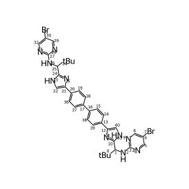 CC(C)(C)C(Nc1ncc(Br)cn1)c1nc(-c2ccc(-c3ccc(-c4c[nH]c(C(Nc5ncc(Br)cn5)C(C)(C)C)n4)cc3)cc2)c[nH]1